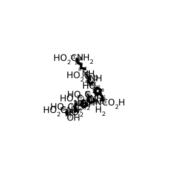 C[C@@H](O)[C@H](N)C(=O)O.NCCCC[C@H](N)C(=O)O.N[C@@H](CO)C(=O)O.N[C@@H](Cc1ccc(O)cc1)C(=O)O.O=C(O)[C@@H]1CCCN1.O=C(O)[C@@H]1CCCN1.O=C(O)[C@@H]1CCCN1